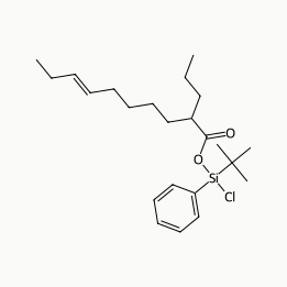 CCC=CCCCCC(CCC)C(=O)O[Si](Cl)(c1ccccc1)C(C)(C)C